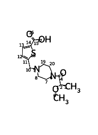 CO[C@H](C)C(=O)N1CCN(Cc2ccc(C(=O)O)s2)CC1